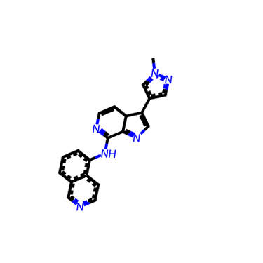 Cn1cc(C2=CN=C3C(Nc4cccc5cnccc45)=NC=CC23)cn1